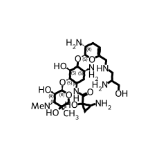 CN[C@@H]1[C@@H](O)[C@@H](O[C@H]2[C@H](NC(=O)C3(O)CC3N)C[C@H](N)C(O[C@H]3OC(CNCC(N)CO)=CC[C@H]3N)[C@@H]2O)OC[C@]1(C)O